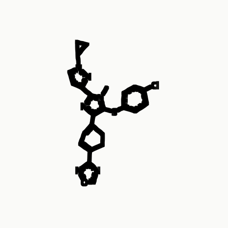 Cn1c(-c2ccn(C3CC3)n2)nc(C2=CC=C(c3ncon3)CC2)c1Sc1ccc(Cl)cc1